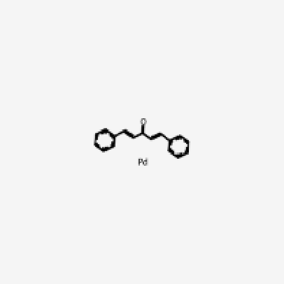 O=C(C=Cc1ccccc1)/C=C/c1ccccc1.[Pd]